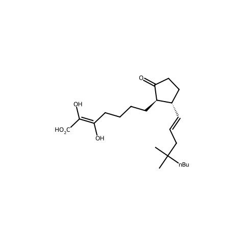 CCCCC(C)(C)CC=C[C@H]1CCC(=O)[C@@H]1CCCCC(O)=C(O)C(=O)O